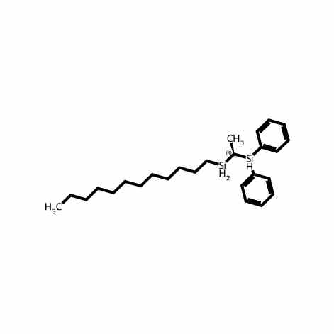 CCCCCCCCCCCC[SiH2][C@@H](C)[SiH](c1ccccc1)c1ccccc1